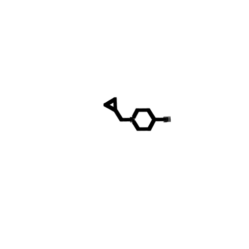 SC1CCN(CC2CC2)CC1